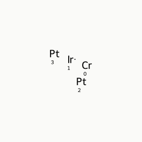 [Cr].[Ir].[Pt].[Pt]